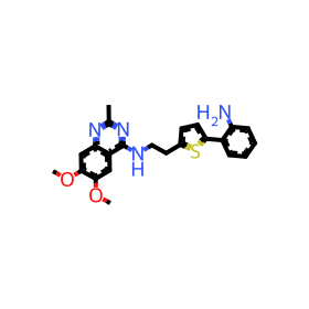 COc1cc2nc(C)nc(NCCc3ccc(-c4ccccc4N)s3)c2cc1OC